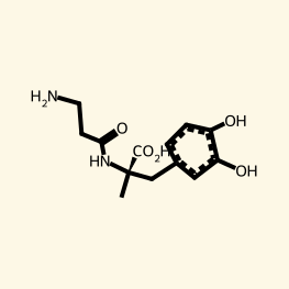 C[C@@](Cc1ccc(O)c(O)c1)(NC(=O)CCN)C(=O)O